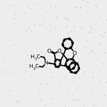 CCN(CC)c1ccc(-c2ccccc2)c2c1C(=O)OC21c2ccccc2Oc2ccccc21